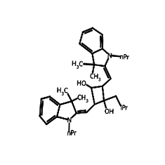 CCCN1/C(=C/C2C(O)C(/C=C3/N(CCC)c4ccccc4C3(C)C)C2(O)CC(C)C)C(C)(C)c2ccccc21